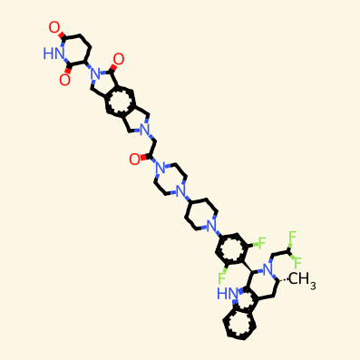 C[C@@H]1Cc2c([nH]c3ccccc23)[C@@H](c2c(F)cc(N3CCC(N4CCN(C(=O)CN5Cc6cc7c(cc6C5)C(=O)N(C5CCC(=O)NC5=O)C7)CC4)CC3)cc2F)N1CC(F)F